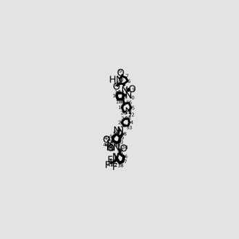 Cn1c(=O)n(C2CCC(=O)NC2=O)c2cccc(C3CCN(C[C@H]4CC[C@H](n5cc6cc(NC(=O)c7cccc(C(F)(F)F)n7)c(S(C)(=O)=O)cc6n5)CC4)CC3)c21